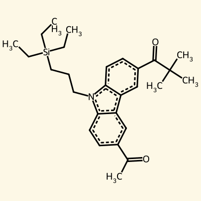 CC[Si](CC)(CC)CCCn1c2ccc(C(C)=O)cc2c2cc(C(=O)C(C)(C)C)ccc21